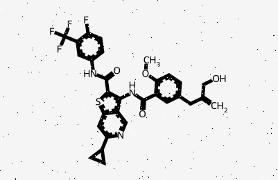 C=C(CO)Cc1ccc(OC)c(C(=O)Nc2c(C(=O)Nc3ccc(F)c(C(F)(F)F)c3)sc3cc(C4CC4)ncc23)c1